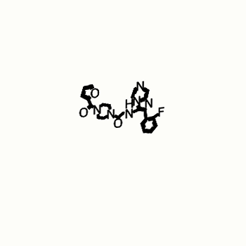 O=C(CNc1c(-c2ccccc2F)nc2cnccn12)N1CCN(C(=O)c2ccco2)CC1